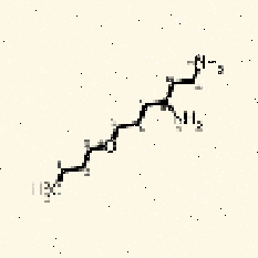 CCCCOCCCC(N)CCN